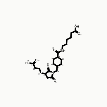 O=C(O)CCCCCNC(=O)C1CCC(CN2C(=O)CC(SCCC(=O)O)C2=O)CC1